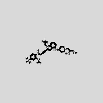 COCC(O)CN1CCC(Nc2cccc3c2cc(C#CCNc2ccc(S(C)(=O)=O)cc2OC(F)F)n3CC(F)(F)F)CC1